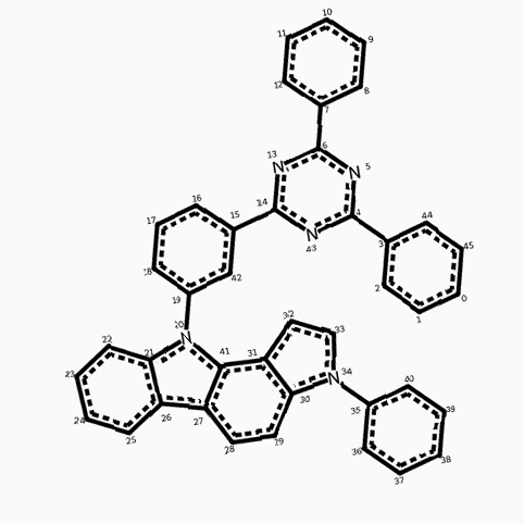 c1ccc(-c2nc(-c3ccccc3)nc(-c3cccc(-n4c5ccccc5c5ccc6c(ccn6-c6ccccc6)c54)c3)n2)cc1